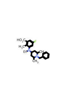 CCN(c1cc(F)cc(C(=O)O)c1C)C1CC(C)N(Cc2ccccc2)C(C)C1